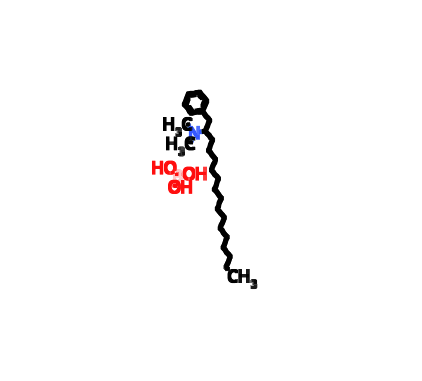 CCCCCCCCCCCCCCCC(Cc1ccccc1)N(C)C.OB(O)O